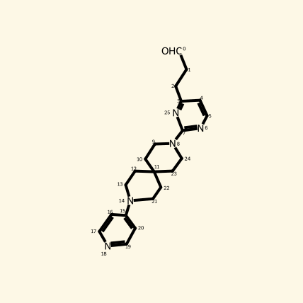 O=CCCc1ccnc(N2CCC3(CCN(c4ccncc4)CC3)CC2)n1